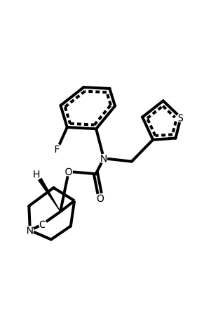 O=C(O[C@H]1CN2CCC1CC2)N(Cc1ccsc1)c1ccccc1F